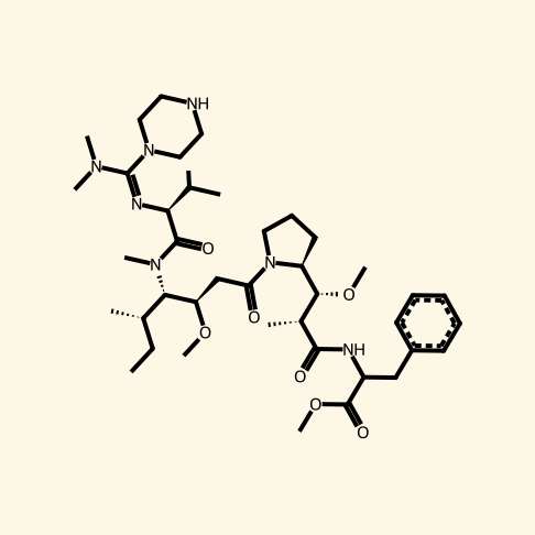 CC[C@H](C)[C@@H]([C@@H](CC(=O)N1CCC[C@H]1[C@H](OC)[C@@H](C)C(=O)NC(Cc1ccccc1)C(=O)OC)OC)N(C)C(=O)[C@@H](N=C(N(C)C)N1CCNCC1)C(C)C